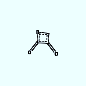 O=c1bcc1=O